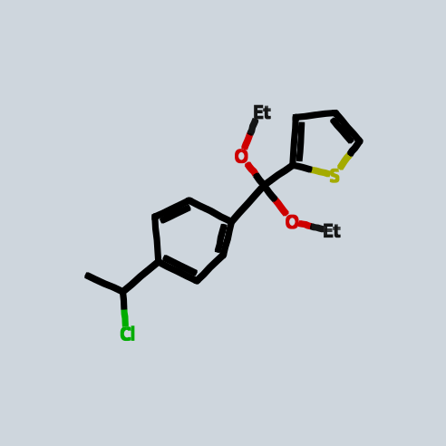 CCOC(OCC)(c1ccc(C(C)Cl)cc1)c1cccs1